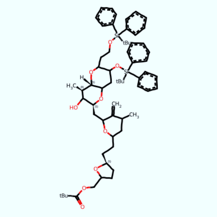 C=C1C(C)CC(CC[C@H]2CCC(COC(=O)C(C)(C)C)O2)OC1C[C@@H]1OC2CC(O[Si](c3ccccc3)(c3ccccc3)C(C)(C)C)C(CCO[Si](c3ccccc3)(c3ccccc3)C(C)(C)C)O[C@H]2[C@H](C)C1O